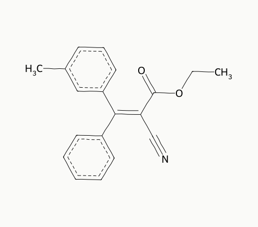 CCOC(=O)/C(C#N)=C(/c1ccccc1)c1cccc(C)c1